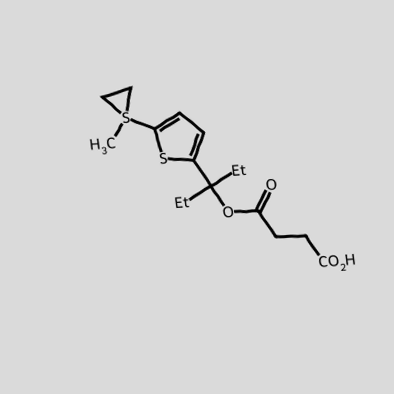 CCC(CC)(OC(=O)CCC(=O)O)c1ccc(S2(C)CC2)s1